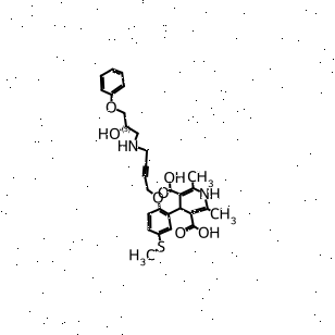 CSc1ccc(OCC#CCNC[C@H](O)COc2ccccc2)c(C2C(C(=O)O)=C(C)NC(C)=C2C(=O)O)c1